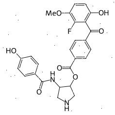 COc1ccc(O)c(C(=O)c2ccc(C(=O)OC3CNCC3NC(=O)c3ccc(O)cc3)cc2)c1F